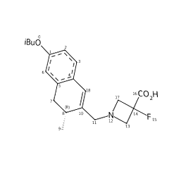 CC(C)COc1ccc2c(c1)C[C@@H](C)C(CN1CC(F)(C(=O)O)C1)=C2